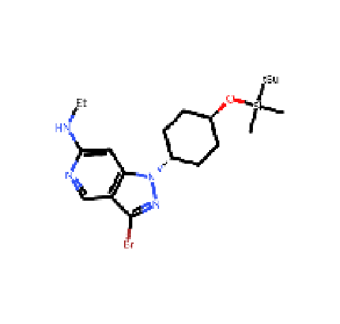 CCNc1cc2c(cn1)c(Br)nn2[C@H]1CC[C@H](O[Si](C)(C)C(C)(C)C)CC1